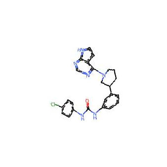 O=C(Nc1ccc(Cl)cc1)Nc1cccc(C2CCCN(c3ncnc4[nH]ccc34)C2)c1